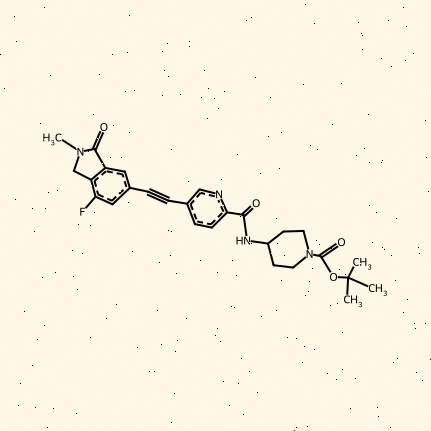 CN1Cc2c(F)cc(C#Cc3ccc(C(=O)NC4CCN(C(=O)OC(C)(C)C)CC4)nc3)cc2C1=O